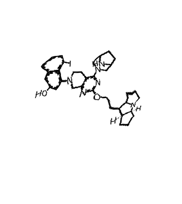 Oc1cc(N2CCc3c(nc(OCCC4C5CCCN5[C@H]5CCC[C@@H]45)nc3N3CC4CCC(C3)N4)C2)c2c(I)cccc2c1